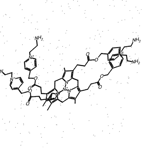 Cc1c(CCC(=O)OCc2cc[n+](CCN)cc2)c2n3c1Cc1c(C)c(CCC(=O)OCc4cc[n+](CCN)cc4)c4n1[N+]31n3c(c(C)c(CCC(=O)OCc5cc[n+](CCN)cc5)c3Cc3c(C)c(CCC(=O)OCc5cc[n+](CCN)cc5)c(n31)C4)C2